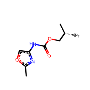 Cc1nc(NC(=O)OC[C@H](C)C(C)C)co1